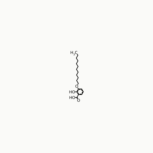 CCCCCCCCCCCCOc1cccc(C(=O)O)c1O